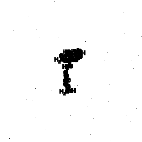 CO[C@@H]1C(CO)C[C@@H](O[C@@H]2C(CO)O[C@@H](O[C@@H]3C(CO)C[C@@H](OC)[C@@H](N)C3O)C(NC(=O)CCC(=O)NCCCOc3ccc(C(=O)Oc4ccc5cc(C(=N)N)ccc5c4)cc3)[C@H]2O)[C@@H](NC(C)=O)C1O